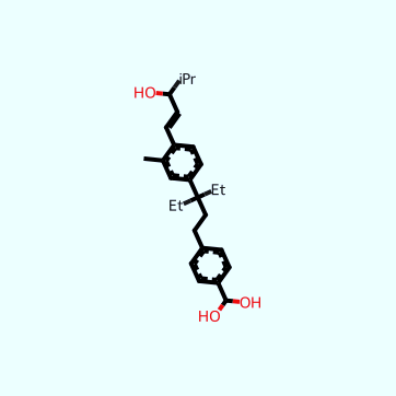 CCC(CC)(CCc1ccc(C(O)O)cc1)c1ccc(C=CC(O)C(C)C)c(C)c1